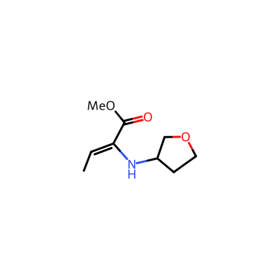 C/C=C(\NC1CCOC1)C(=O)OC